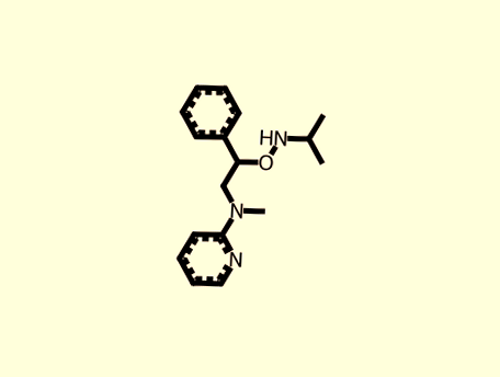 CC(C)NOC(CN(C)c1ccccn1)c1ccccc1